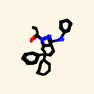 C=CC(=O)n1nc(Nc2ccccc2)c2c1CC(c1ccccc1)(C1CCCCC1)C=C2